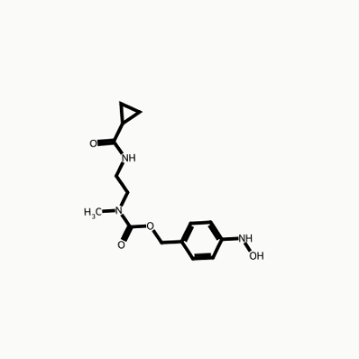 CN(CCNC(=O)C1CC1)C(=O)OCc1ccc(NO)cc1